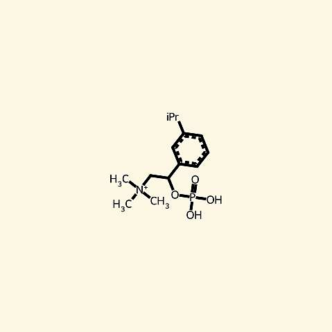 CC(C)c1cccc(C(C[N+](C)(C)C)OP(=O)(O)O)c1